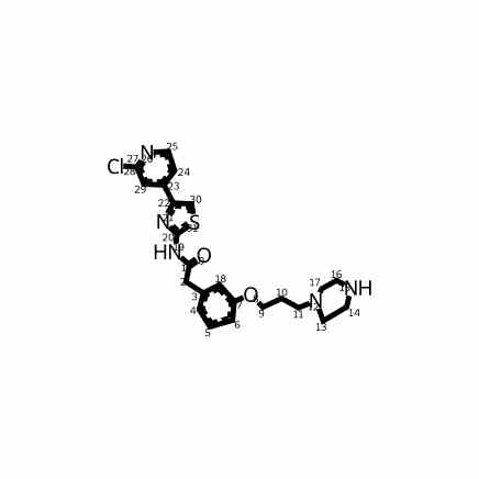 O=C(Cc1cccc(OCCCN2CCNCC2)c1)Nc1nc(-c2ccnc(Cl)c2)cs1